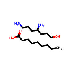 CCCCCCCCC(=O)O.NCCCC(N)CCCO